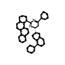 c1ccc(C2=NC(c3cccc4ccc5c6ccccc6ccc5c34)=N[C@@H](c3ccc4c(-c5ccccc5)cccc4c3)C2)cc1